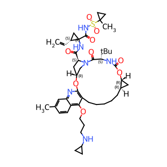 C=C[C@@H]1C[C@]1(NC(=O)[C@@H]1C[C@@H]2CN1C(=O)[C@H](C(C)(C)C)NC(=O)O[C@@H]1C[C@H]1CCCCCc1c(nc3cc(C)ccc3c1OCCCNC1CC1)O2)C(=O)NS(=O)(=O)C1(C)CC1